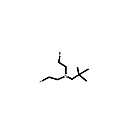 CC(C)(C)CN(CCF)CCF